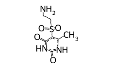 Cc1[nH]c(=O)[nH]c(=O)c1S(=O)(=O)CCN